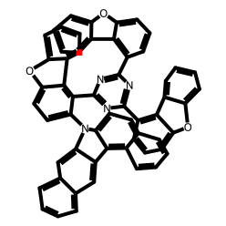 c1ccc2cc3c(cc2c1)c1c2ccccc2ccc1n3-c1ccc2oc3ccccc3c2c1-c1nc(-c2cccc3oc4ccccc4c23)nc(-c2cccc3oc4ccccc4c23)n1